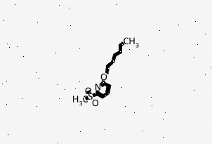 CCCCCCCOc1cccc(S(C)(=O)=O)n1